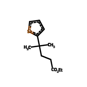 CCOC(=O)CCC(C)(C)c1cccs1